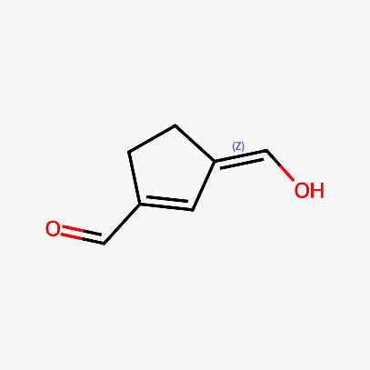 O=CC1=C/C(=C\O)CC1